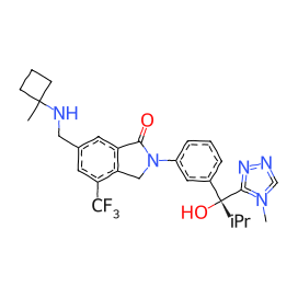 CC(C)[C@@](O)(c1cccc(N2Cc3c(cc(CNC4(C)CCC4)cc3C(F)(F)F)C2=O)c1)c1nncn1C